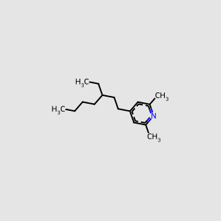 CCCCC(CC)CCc1cc(C)nc(C)c1